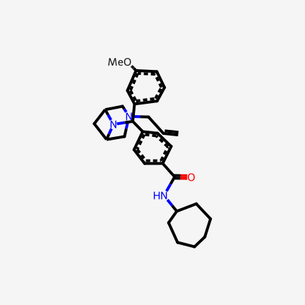 C=CCN1CC2CC(C1)N2C(c1ccc(C(=O)NC2CCCCCC2)cc1)c1cccc(OC)c1